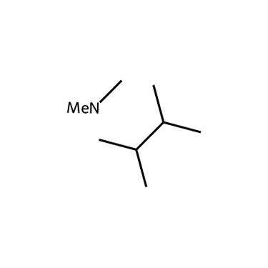 CC(C)C(C)C.CNC